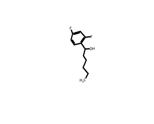 CCCCCC(O)c1ccc(F)cc1F